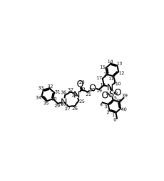 Cc1cc(C)c(S(=O)(=O)N2Cc3ccccc3CC2COCC(=O)N2CCCN(Cc3ccccc3)CC2)c(C)c1